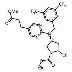 CCC1C[C@H](N(Cc2cc(C(F)(F)F)cc(C(F)(F)F)c2)c2ncc(CCC(=O)OC)cn2)CN1C(=O)OC(C)(C)C